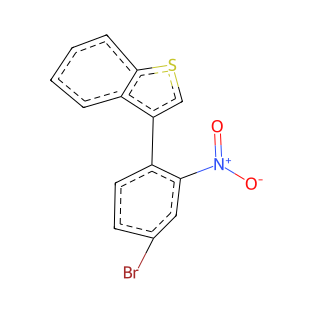 O=[N+]([O-])c1cc(Br)ccc1-c1csc2ccccc12